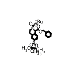 CC(C)(C)OC(=O)N1CCc2cc(B3OC(C)(C)C(C)(C)O3)ccc2C1C(=O)OCc1ccccc1